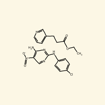 CCOC(=O)CCc1cccnc1.Nc1nc(Nc2ccc(Cl)cc2)ncc1[N+](=O)[O-]